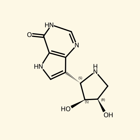 O=c1[nH]cnc2c([C@@H]3NC[C@@H](O)[C@H]3O)c[nH]c12